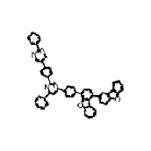 c1ccc(-c2cc(-c3ccc(-c4ccc(-c5ccc6oc7ccccc7c6c5)c5c4oc4ccccc45)cc3)nc(-c3ccc(-c4cnc(-c5ccccc5)nc4)cc3)n2)cc1